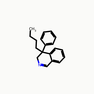 CCCCC1(c2ccccc2)CN=Cc2ccccc21